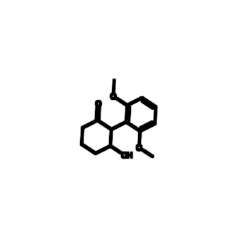 COc1cccc(OC)c1C1C(=O)CCCC1O